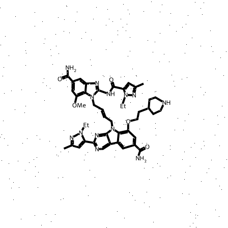 CCn1nc(C)cc1C(=O)Nc1nc2cc(C(N)=O)cc(OC)c2n1CC=CCn1c2nc(-c3cc(C)nn3CC)ncc2c2cc(C(N)=O)cc(OCCC3CCNCC3)c21